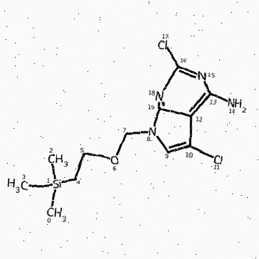 C[Si](C)(C)CCOCn1cc(Cl)c2c(N)nc(Cl)nc21